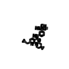 CS(=N)(=O)c1cccc(NC(=O)c2ccc(CC3CC3)nc2N2CCC3(CC2)CC3)c1